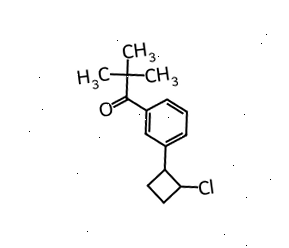 CC(C)(C)C(=O)c1cccc(C2CCC2Cl)c1